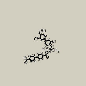 [CH2]C(C)(C)Cc1ccc(-c2ccc(CC(C)(C)COC(=O)c3ccc(-c4ccc(C([O])=O)cc4)cc3)c(Cl)c2)cc1Cl